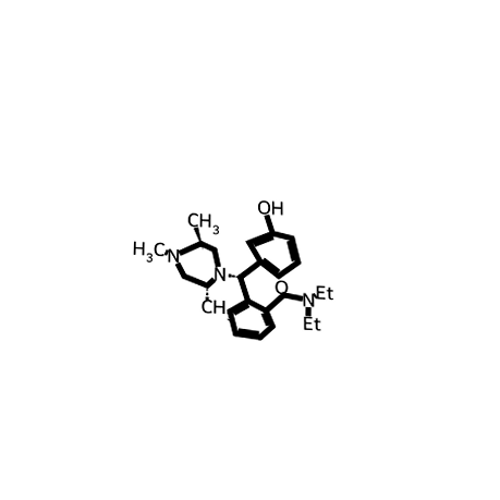 CCN(CC)C(=O)c1ccccc1[C@@H](c1cccc(O)c1)N1C[C@H](C)N(C)C[C@H]1C